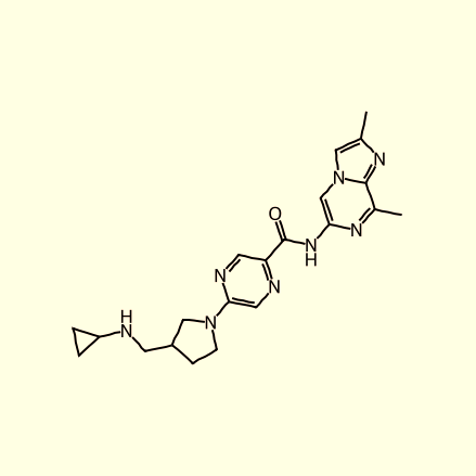 Cc1cn2cc(NC(=O)c3cnc(N4CCC(CNC5CC5)C4)cn3)nc(C)c2n1